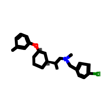 Cc1cccc(O[C@@H]2CCC[C@H](C(C)CN(C)Cc3ccc(Cl)cc3)C2)c1